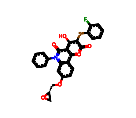 O=c1oc2c(c(O)c1Sc1ccccc1F)c(=O)n(-c1ccccc1)c1cc(OC[C@@H]3CO3)ccc21